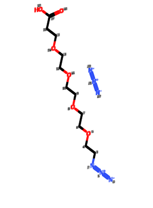 [N-]=[N+]=NCCOCCOCCOCCOCCC(=O)O.[N-]=[N+]=[N-]